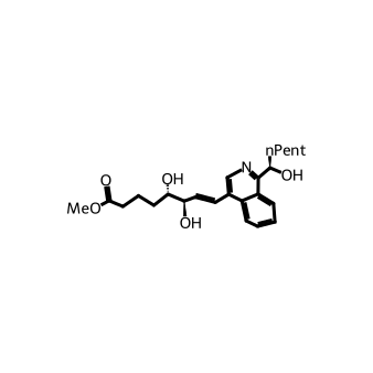 CCCCC[C@@H](O)c1ncc(/C=C/[C@@H](O)[C@@H](O)CCCC(=O)OC)c2ccccc12